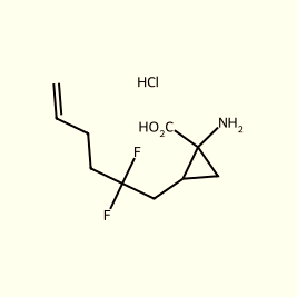 C=CCCC(F)(F)CC1CC1(N)C(=O)O.Cl